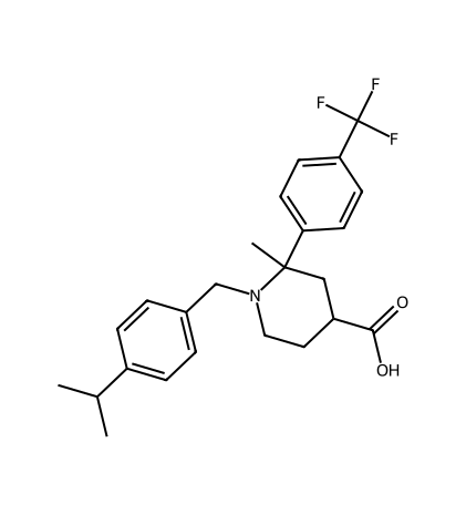 CC(C)c1ccc(CN2CCC(C(=O)O)CC2(C)c2ccc(C(F)(F)F)cc2)cc1